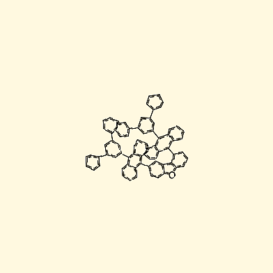 c1ccc(-c2cc(-c3ccccc3)cc(-c3c4ccccc4c(-c4ccc5oc6cccc(-c7c8ccccc8c(-c8cc(-c9ccccc9)cc(-c9ccccc9)c8)c8ccccc78)c6c5c4)c4ccccc34)c2)cc1